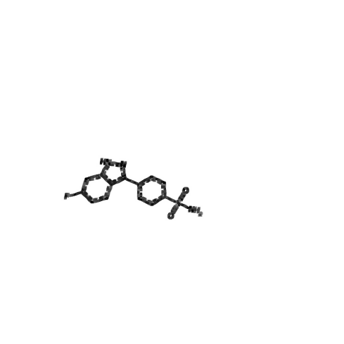 NS(=O)(=O)c1ccc(-c2n[nH]c3cc(F)ccc23)cc1